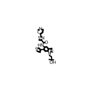 CC(C)(O)CCn1ncc2cc(NC(=O)c3csc(-c4ccncc4)n3)c(-c3ccsc3)cc21